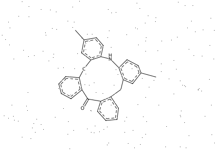 Cc1ccc2c(c1)Cc1ccccc1C(=O)c1ccccc1Cc1cc(C)ccc1N2